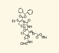 CCSC1=C(C(=O)OC(c2ccccc2)c2ccccc2)N2C(=O)C(NC(=O)C(=NOCC(=O)OC(C)(C)C)c3nc(NC=O)sc3Cl)[C@@H]2SC1